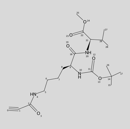 C#CC(=O)NCCCC[C@H](NC(=O)OC(C)(C)C)C(=O)N[C@@H](C(=O)OC)C(C)C